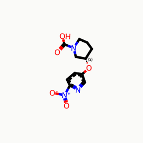 O=C(O)N1CCC[C@H](Oc2ccc([N+](=O)[O-])nc2)C1